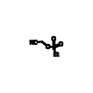 CCS(=O)(=O)OCC#N